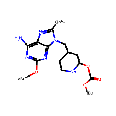 CCCCOc1nc(N)c2nc(OC)n(CC3CCNC(OC(=O)OC(C)(C)C)C3)c2n1